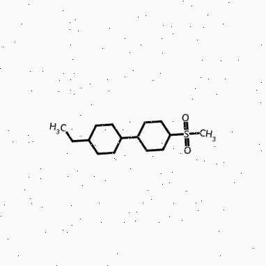 CCC1CCC(C2CCC(S(C)(=O)=O)CC2)CC1